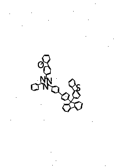 c1ccc(-c2nc(-c3ccc(-c4ccc(C5(c6ccc7sc8ccccc8c7c6)c6ccccc6-c6ccccc65)cc4)cc3)nc(-c3ccc4c(c3)oc3ccccc34)n2)cc1